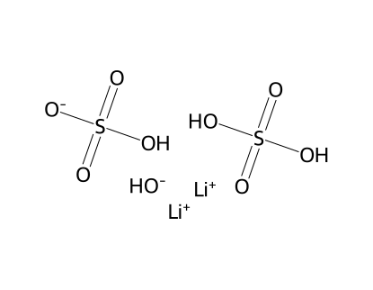 O=S(=O)(O)O.O=S(=O)([O-])O.[Li+].[Li+].[OH-]